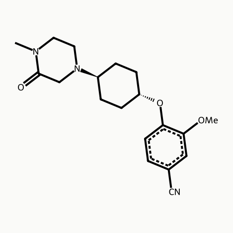 COc1cc(C#N)ccc1O[C@H]1CC[C@H](N2CCN(C)C(=O)C2)CC1